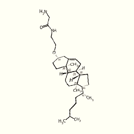 CC(C)CCC[C@@H](C)[C@H]1CC[C@H]2[C@@H]3CC=C4C[C@@H](OCCNC(=O)CN)CC[C@]4(C)[C@H]3CC[C@]12C